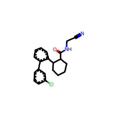 N#CCNC(=O)C1CCCCC1c1ccccc1-c1cccc(Cl)c1